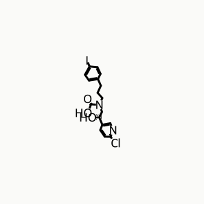 O=C(O)N(CCCc1ccc(I)cc1)C[C@H](O)c1ccc(Cl)nc1